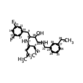 CC/C=C(\C=N/C)NC(Cc1cc(F)cc(F)c1)C(O)CNCc1cccc(CC)c1